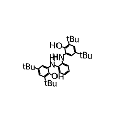 CC(C)(C)c1cc(Nc2ccccc2Nc2cc(C(C)(C)C)cc(C(C)(C)C)c2O)c(O)c(C(C)(C)C)c1